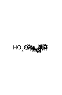 O=C(O)c1ccc(Cn2cc(-c3ccnc(-c4ncc(-c5ccccc5)[nH]4)c3)cn2)cc1